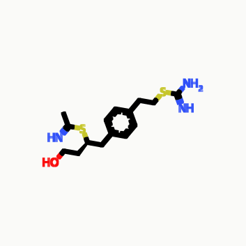 CC(=N)S[C@H](CCO)Cc1ccc(CCSC(=N)N)cc1